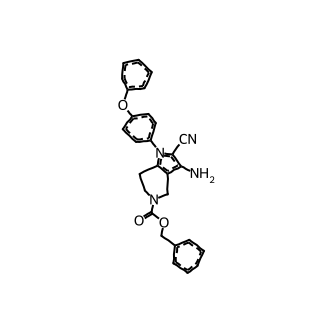 N#Cc1c(N)c2c(n1-c1ccc(Oc3ccccc3)cc1)CCN(C(=O)OCc1ccccc1)C2